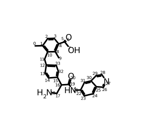 Cc1ccc(C(=O)O)c(C)c1Cc1ccc(C(CN)C(=O)Nc2ccc3cnccc3c2)cc1